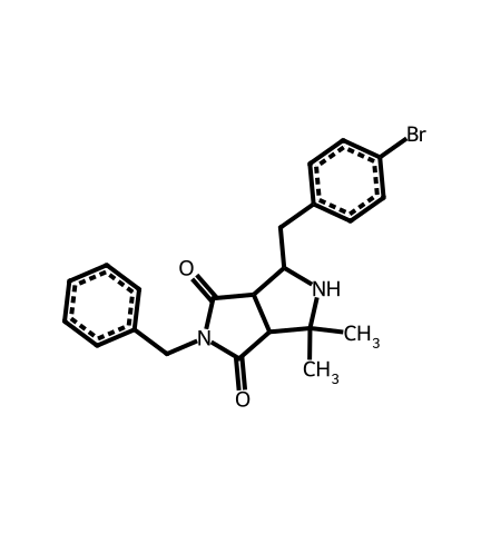 CC1(C)NC(Cc2ccc(Br)cc2)C2C(=O)N(Cc3ccccc3)C(=O)C21